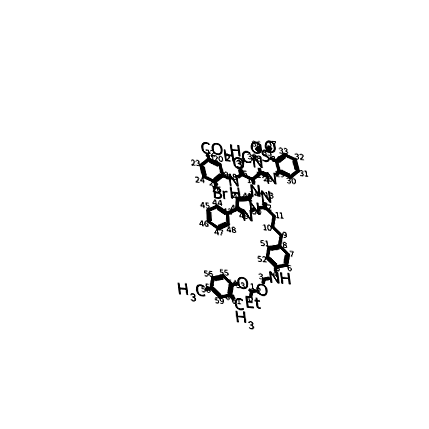 CCC(OCNc1ccc(CCCc2nn(C(C(=O)Nc3cc(C(=O)O)ccc3Br)C3=Nc4ccccc4S(=O)(=O)N3C)c3cc(-c4ccccc4)nn23)cc1)Oc1ccc(C)cc1C